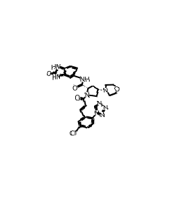 O=C(Nc1ccc2[nH]c(=O)[nH]c2c1)[C@@H]1C[C@H](N2CCOCC2)CN1C(=O)C=Cc1cc(Cl)ccc1-n1cnnn1